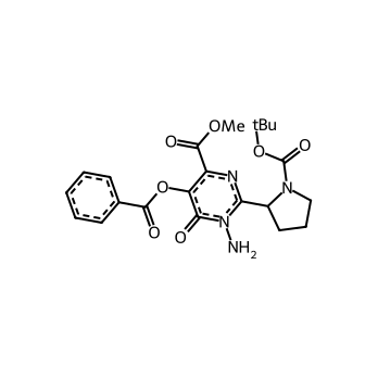 COC(=O)c1nc(C2CCCN2C(=O)OC(C)(C)C)n(N)c(=O)c1OC(=O)c1ccccc1